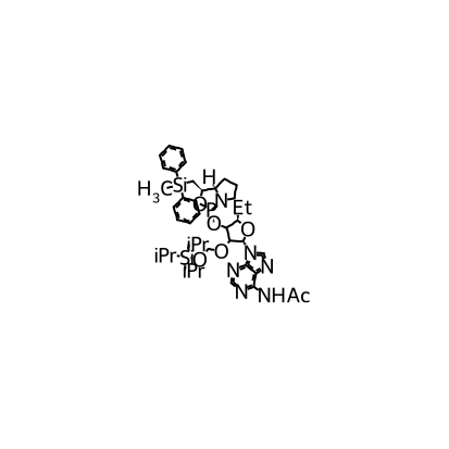 CC[C@H]1O[C@@H](n2cnc3c(NC(C)=O)ncnc32)[C@@H](OCO[Si](C(C)C)(C(C)C)C(C)C)C1O[P@]1O[C@@H](C[Si](C)(c2ccccc2)c2ccccc2)[C@H]2CCCN21